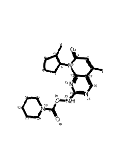 Cc1cc(=O)n(C2CCCC2C)c2nc(NOC(=O)N3CCCCC3)ncc12